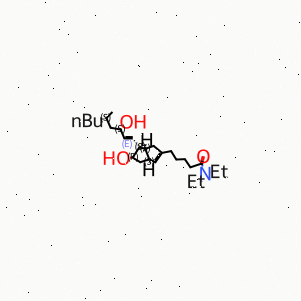 CCCC[C@H](C)C[C@H](O)/C=C/[C@@H]1[C@H]2CC(CCCCC(=O)N(CC)CC)=C[C@H]2C[C@H]1O